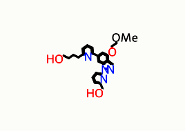 COCCOc1cc(-c2cccc(CCCCO)n2)cc2c1cnn2-c1cccc(CO)n1